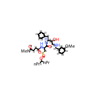 CCCC(CCC)OOSCC(NC(=O)CCC(=O)NC)C(=O)N[C@@H](Cc1ccccc1)[C@H](O)CNCc1cccc(OC)c1